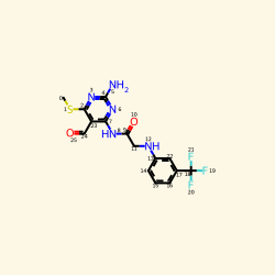 CSc1nc(N)nc(NC(=O)CNc2cccc(C(F)(F)F)c2)c1C=O